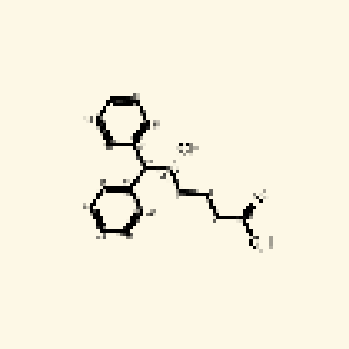 OC(=S)CCC[C@@H](O)C(c1ccccc1)c1ccccc1